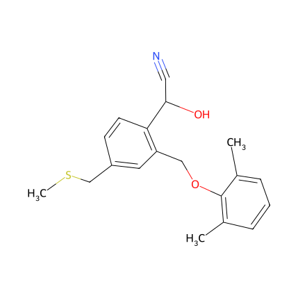 CSCc1ccc(C(O)C#N)c(COc2c(C)cccc2C)c1